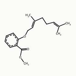 COC(=O)c1ccccc1OC/C=C(\C)CCC=C(C)C